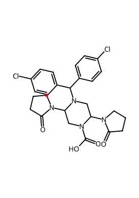 O=C(O)N1CC(N2CCCC2=O)N(C(c2ccc(Cl)cc2)c2ccc(Cl)cc2)CC1N1CCCC1=O